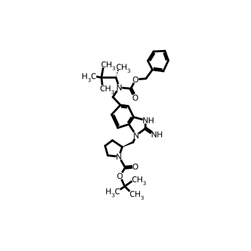 C[C@H](N(Cc1ccc2c(c1)[nH]c(=N)n2C[C@@H]1CCCN1C(=O)OC(C)(C)C)C(=O)OCc1ccccc1)C(C)(C)C